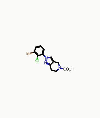 O=C(O)N1CCc2nn(-c3cccc(Br)c3Cl)cc2C1